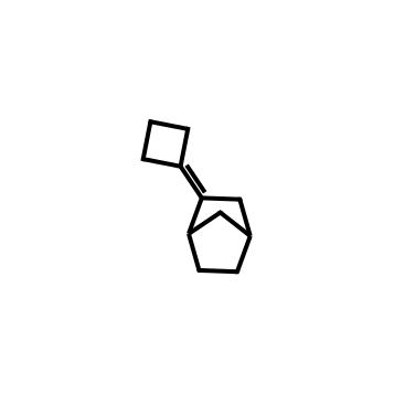 C1CC(=C2CC3CCC2C3)C1